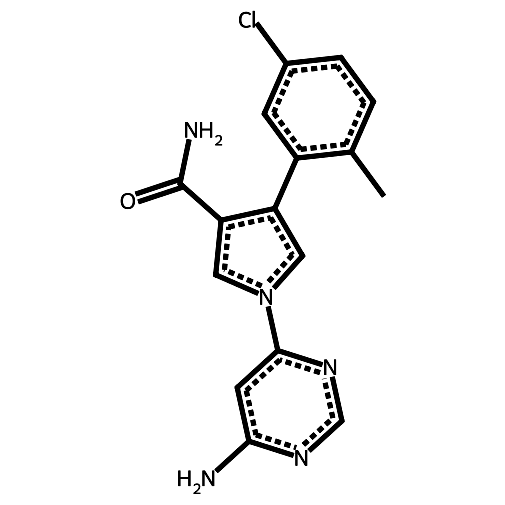 Cc1ccc(Cl)cc1-c1cn(-c2cc(N)ncn2)cc1C(N)=O